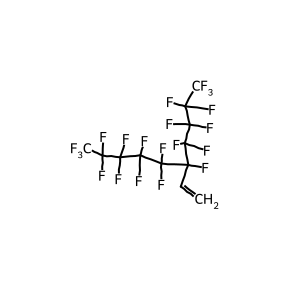 C=CC(F)(C(F)(F)C(F)(F)C(F)(F)C(F)(F)F)C(F)(F)C(F)(F)C(F)(F)C(F)(F)C(F)(F)F